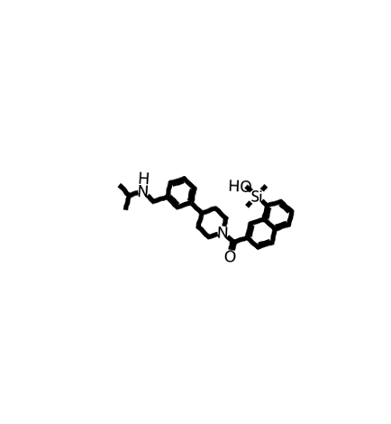 CC(C)NCc1cccc(C2CCN(C(=O)c3ccc4cccc([Si](C)(C)O)c4c3)CC2)c1